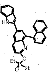 CCP(=O)(CC)Oc1ccc2cc(-c3cc4ccccc4[nH]3)cc(-c3cccc4ccccc34)c2n1